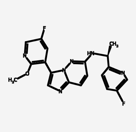 COc1ncc(F)cc1-c1cnc2ccc(N[C@@H](C)c3ccc(F)cn3)nn12